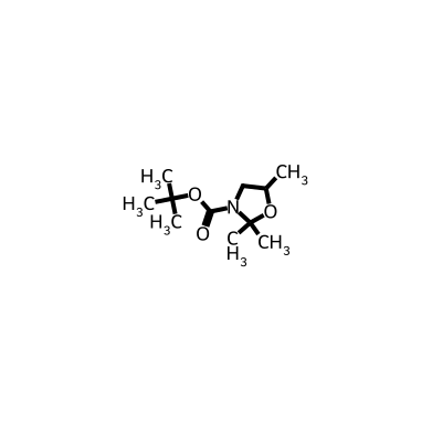 CC1CN(C(=O)OC(C)(C)C)C(C)(C)O1